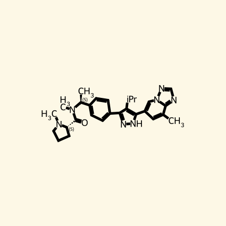 Cc1cc(-c2[nH]nc(-c3ccc([C@H](C)N(C)C(=O)[C@@H]4CCCN4C)cc3)c2C(C)C)cn2ncnc12